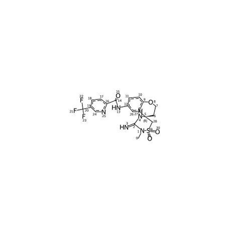 CN1C(=N)N[C@@]2(CCOc3ccc(NC(=O)c4ccc(C(F)(F)F)cn4)cc32)CS1(=O)=O